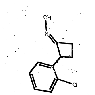 O/N=C1\CCC1c1ccccc1Cl